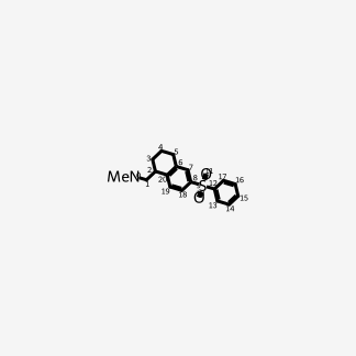 CNCC1CCCc2cc(S(=O)(=O)c3ccccc3)ccc21